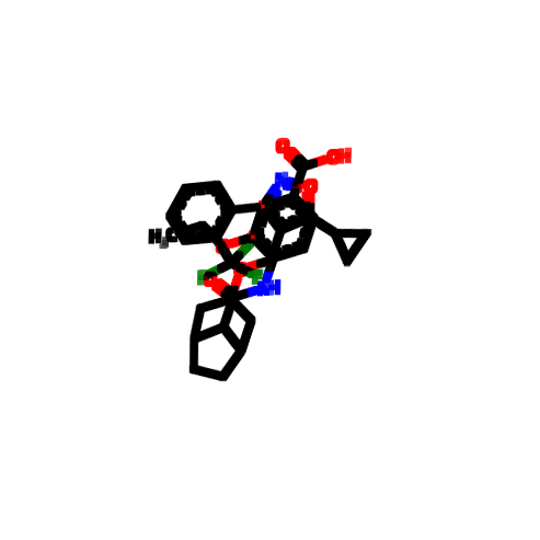 CCOc1cc(C(=O)O)ccc1NC(=O)C1C2CCC1CC(OCc1c(-c3ccccc3C(F)(F)F)noc1C1CC1)C2